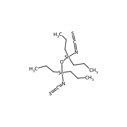 CC[CH2][Sn]([CH2]CC)([N]=C=S)[O][Sn]([CH2]CC)([CH2]CC)[N]=C=S